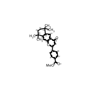 COC(=O)c1ccc(-c2cc(=O)c3cc4c(cc3o2)C(C)(C)CCC4(C)C)cc1